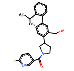 CC(C)c1ccccc1-c1ccc(C2CCN(C(=O)c3ccc(F)nc3)C2)c(CO)c1